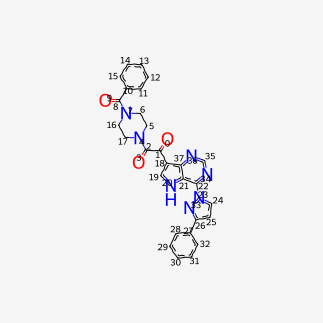 O=C(C(=O)N1CCN(C(=O)c2ccccc2)CC1)c1c[nH]c2c(-n3ccc(-c4ccccc4)n3)ncnc12